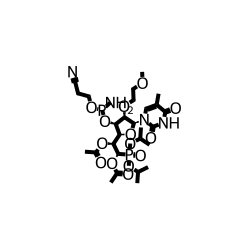 COCCO[C@@H]1[C@H](OP(N)OCCC#N)[C@@H]([C@H](OC(C)=O)[C@@H](OC(C)=O)P(=O)(OC(C)C)OC(C)C)O[C@H]1n1cc(C)c(=O)[nH]c1=O